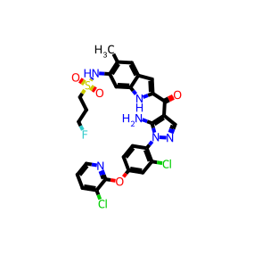 Cc1cc2cc(C(=O)c3cnn(-c4ccc(Oc5ncccc5Cl)cc4Cl)c3N)[nH]c2cc1NS(=O)(=O)CCCF